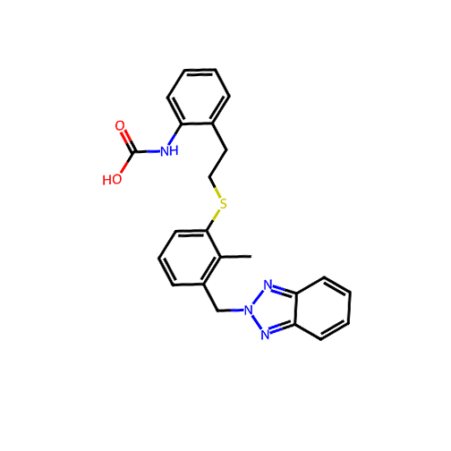 Cc1c(Cn2nc3ccccc3n2)cccc1SCCc1ccccc1NC(=O)O